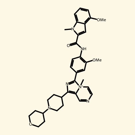 COc1cc(C2=NC(C3CCN(C4CCOCC4)CC3)=C3C=NC=C[N+]23C)ccc1NC(=O)c1cc2c(OC)cccc2n1C